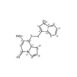 O=C1C=C(O)N(CCc2c[nH]c3ccccc23)C2SC=CN12